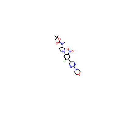 CN(C(=O)OC(C)(C)C)C1CCN(c2cc(F)c(-c3cnc(N4CCOCC4)nc3)cc2[N+](=O)[O-])C1